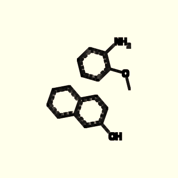 COc1ccccc1N.Oc1ccc2ccccc2c1